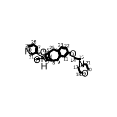 O=S(=O)(NC1C2CCC1Cc1cc(OCCN3CCOCC3)ccc1C2)c1cccnc1